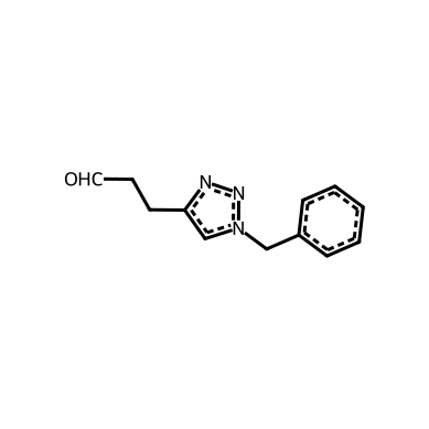 O=CCCc1cn(Cc2ccccc2)nn1